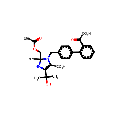 CCCC1(COC(=O)C(C)(C)C)NC(C(C)(C)O)=C(C(=O)O)N1Cc1ccc(-c2ccccc2C(=O)C(=O)O)cc1